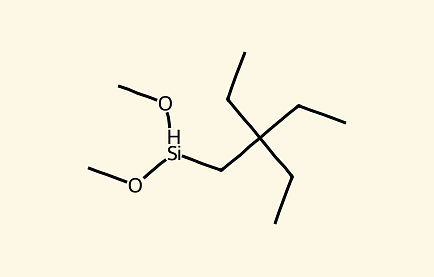 CCC(CC)(CC)C[SiH](OC)OC